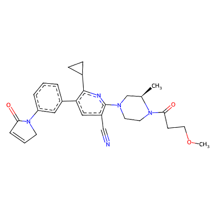 COCCC(=O)N1CCN(c2nc(C3CC3)c(-c3cccc(N4CC=CC4=O)c3)cc2C#N)C[C@H]1C